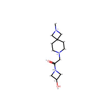 CN1CC2(CCN(CC(=O)N3CC(O)C3)CC2)C1